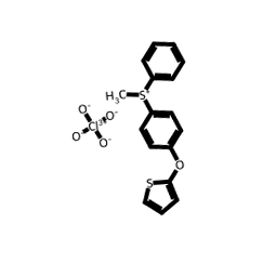 C[S+](c1ccccc1)c1ccc(Oc2cccs2)cc1.[O-][Cl+3]([O-])([O-])[O-]